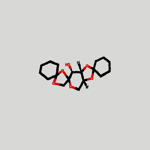 O[C@H]1[C@@H]2OC3(CCCCC3)O[C@@H]2COC12COC1(CCCCC1)O2